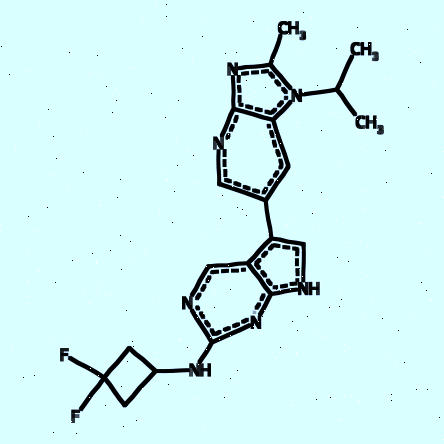 Cc1nc2ncc(-c3c[nH]c4nc(NC5CC(F)(F)C5)ncc34)cc2n1C(C)C